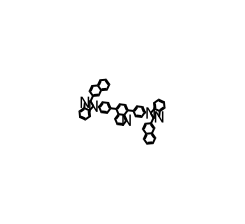 c1ccc2cc(-c3nc4ccccc4n3-c3ccc(-c4ccc(-c5ccc(-n6c(-c7ccc8ccccc8c7)nc7ccccc76)cc5)c5ncccc45)cc3)ccc2c1